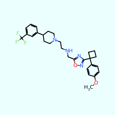 COc1ccc(C2(c3noc(CNCCN4CCC(c5cccc(C(F)(F)F)c5)CC4)n3)CCC2)cc1